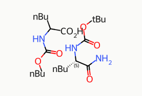 CCCCOC(=O)NC(CCCC)C(=O)O.CCCC[C@H](NC(=O)OC(C)(C)C)C(N)=O